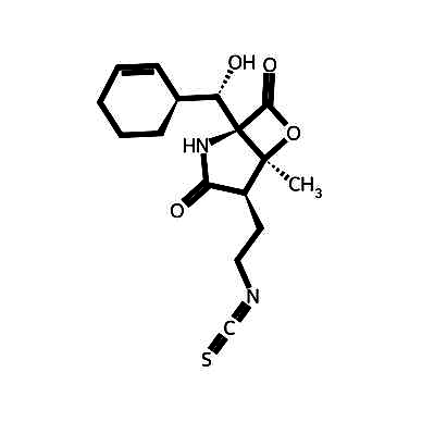 C[C@@]12OC(=O)[C@]1([C@@H](O)[C@@H]1C=CCCC1)NC(=O)[C@@H]2CCN=C=S